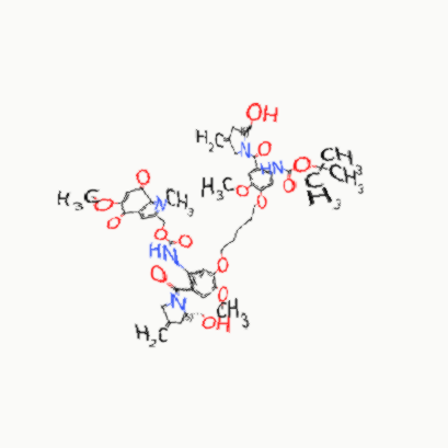 C=C1C[C@@H](CO)N(C(=O)c2cc(OC)c(OCCCCCOc3cc(NC(=O)OC(C)(C)C)c(C(=O)N4CC(=C)C[C@H]4CO)cc3OC)cc2NC(=O)OCc2cc3c(n2C)C(=O)C=C(OC)C3=O)C1